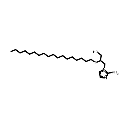 CCCCCCCCCCCCCCCCCCSC(CO)Cn1ccnc1N